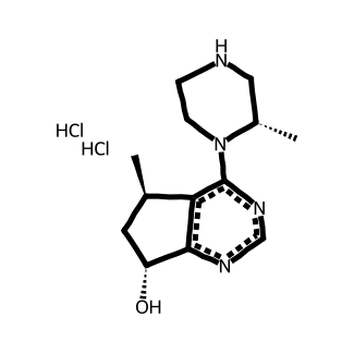 C[C@@H]1C[C@@H](O)c2ncnc(N3CCNC[C@@H]3C)c21.Cl.Cl